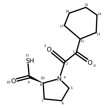 O=C(C(=O)N1CCC[C@H]1C(=O)S)C1CCCCC1